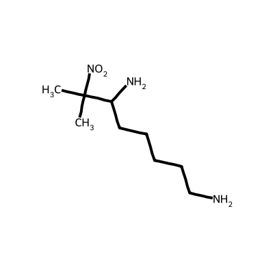 CC(C)(C(N)CCCCCN)[N+](=O)[O-]